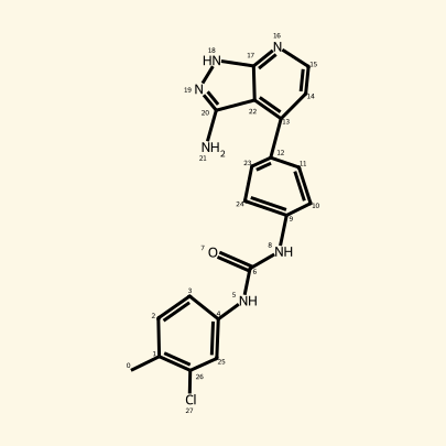 Cc1ccc(NC(=O)Nc2ccc(-c3ccnc4[nH]nc(N)c34)cc2)cc1Cl